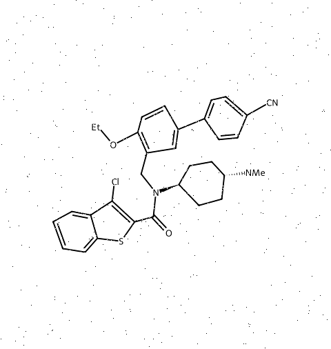 CCOc1ccc(-c2ccc(C#N)cc2)cc1CN(C(=O)c1sc2ccccc2c1Cl)[C@H]1CC[C@H](NC)CC1